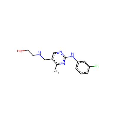 OCCNCc1cnc(Nc2cccc(Cl)c2)nc1C(F)(F)F